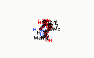 C=C1C[C@H]2C(O)N(C(=O)OCc3ccc(O[C@@H]4O[C@H](C(=O)O)[C@@H](O)[C@H](O)[C@H]4O)c(C(=O)NCCOCCON)c3)c3cc(OCCCC(=O)Nc4cc(C(=O)Nc5cc(C(=O)NCCCO)n(CCCNC)c5)n(C)c4)c(OC)cc3C(=O)N2C1